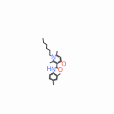 CCCCCCn1c(C)cc(=O)c(C(=O)Nc2ccc(C)cc2C)c1C